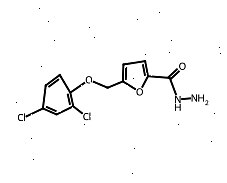 NNC(=O)c1ccc(COc2ccc(Cl)cc2Cl)o1